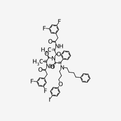 C[C@H](NC(=O)Cc1cc(F)cc(F)c1)C(=O)N(C(=O)[C@H](C)NC(=O)Cc1cc(F)cc(F)c1)C(=O)[C@H](c1ccccc1)N(CCCCc1ccccc1)CCCOc1ccc(I)cc1